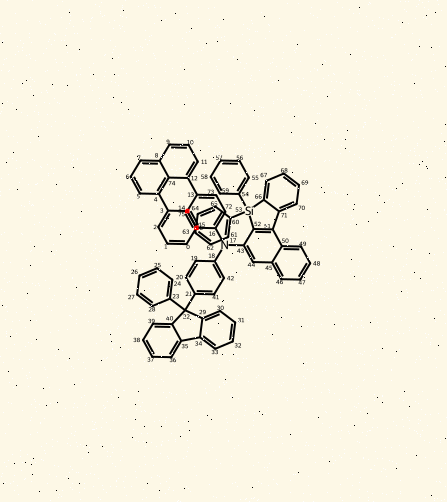 c1ccc(-c2cccc3cccc(-c4ccc(N(c5ccc(C6(c7ccccc7)c7ccccc7-c7ccccc76)cc5)c5cc6ccccc6c6c5[Si](c5ccccc5)(c5ccccc5)c5ccccc5-6)cc4)c23)cc1